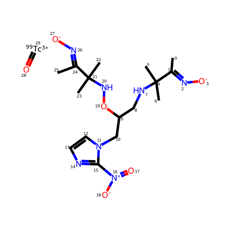 C/C(=N\[O-])C(C)(C)NCC(Cn1ccnc1[N+](=O)[O-])ONC(C)(C)/C(C)=N/[O-].[O]=[99Tc+3]